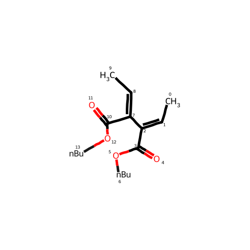 CC=C(C(=O)OCCCC)C(=CC)C(=O)OCCCC